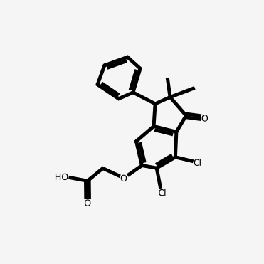 CC1(C)C(=O)c2c(cc(OCC(=O)O)c(Cl)c2Cl)C1c1ccccc1